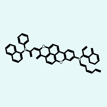 C=C/C=C\C=C\N(/C(C=C)=C1\CCC=CC1=C)c1ccc2c(c1)Oc1ccc3c4c(ccc-2c14)O/C(=C/C(=C)N(c1ccccc1)c1cccc2ccccc12)C3=C